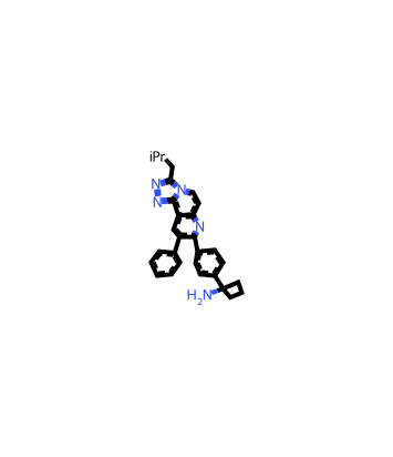 CC(C)Cc1nnc2c3cc(-c4ccccc4)c(-c4ccc(C5(N)CCC5)cc4)nc3ccn12